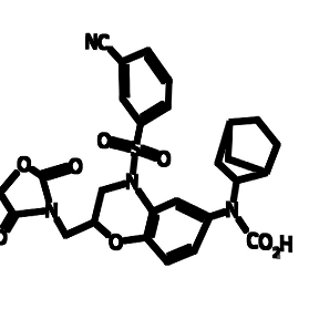 N#Cc1cccc(S(=O)(=O)N2CC(CN3C(=O)COC3=O)Oc3ccc(N(C(=O)O)C4CC5CCC4C5)cc32)c1